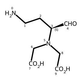 NCC[C@@H](C=O)N(CC(=O)O)CC(=O)O